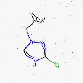 O=C(O)Cn1cnc(Cl)n1